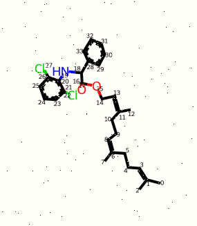 CC(C)=CCCC(C)=CCCC(C)=CCOC(=O)C(Nc1c(Cl)cccc1Cl)c1ccccc1